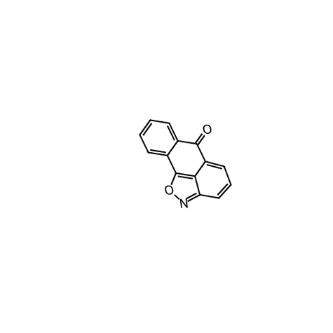 O=C1c2ccccc2-c2onc3cccc1c23